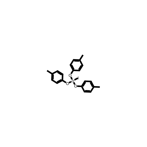 Cc1ccc([O][Zr]([I])([O]c2ccc(C)cc2)[O]c2ccc(C)cc2)cc1